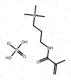 C=C(C)C(=O)NCCC[N+](C)(C)C.O=P([O-])(O)O